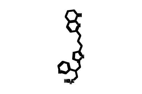 O=C(O)CC(Cn1ccc(CCCc2ccc3c(n2)NCCC3)n1)c1cccnc1